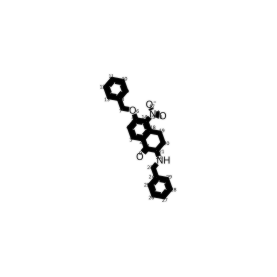 O=C1c2ccc(OCc3ccccc3)c([N+](=O)[O-])c2CCC1NCc1ccccc1